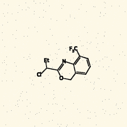 CCC(Cl)C1=Nc2c(cccc2C(F)(F)F)CO1